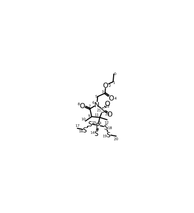 CCOC(=O)CN1C(=O)C(C)C(C)(P(=S)(SSC)SSC)S1(=O)=O